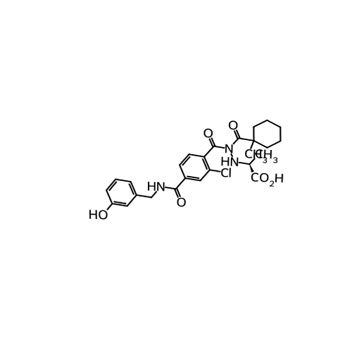 C[C@H](NN(C(=O)c1ccc(C(=O)NCc2cccc(O)c2)cc1Cl)C(=O)C1(C)CCCCC1)C(=O)O